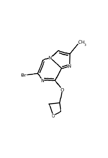 Cc1cn2cc(Br)nc(OC3COC3)c2n1